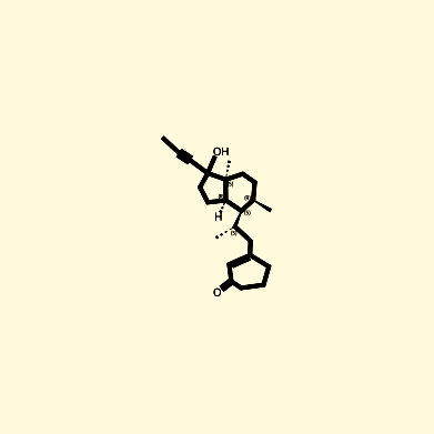 CC#CC1(O)CC[C@@H]2[C@H]([C@@H](C)CC3=CC(=O)CCC3)[C@H](C)CC[C@@]21C